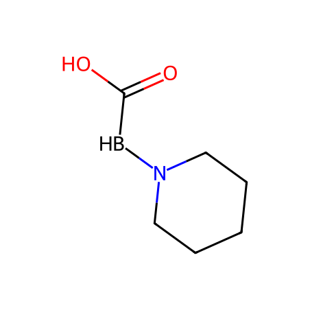 O=C(O)BN1CCCCC1